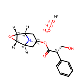 CN1[C@@H]2C[C@@H](OC(=O)[C@H](CO)c3ccccc3)C[C@H]1[C@@H]1O[C@@H]12.O.O.O.[H+]